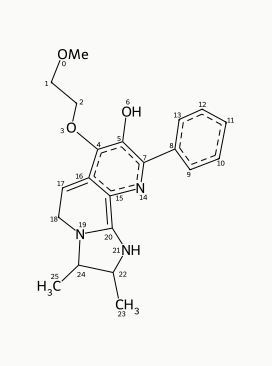 COCCOc1c(O)c(-c2ccccc2)nc2c1=CCN1C=2NC(C)C1C